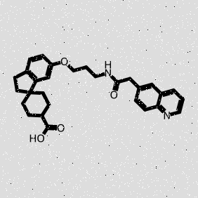 O=C(Cc1ccc2ncccc2c1)NCCCOc1ccc2c(c1)C1(CC2)CCC(C(=O)O)CC1